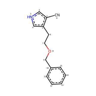 N#Cc1c[nH]cc1CCOCc1ccccc1